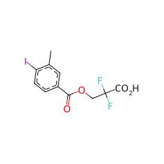 Cc1cc(C(=O)OCC(F)(F)C(=O)O)ccc1I